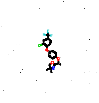 CC(Oc1ccc(Oc2ccc(C(F)(F)F)cc2Cl)cc1)C1=NC(C)(C)CO1